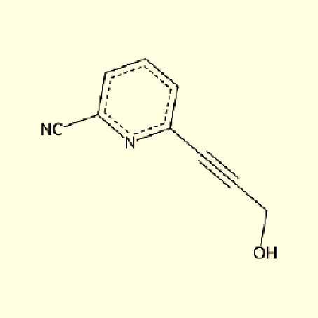 N#Cc1cccc(C#CCO)n1